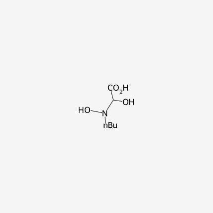 CCCCN(O)C(O)C(=O)O